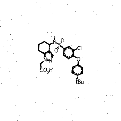 CN(C1CCCc2c1cnn2CC(=O)O)S(=O)(=O)c1ccc(Oc2ccc(C(C)(C)C)cc2)c(Cl)c1